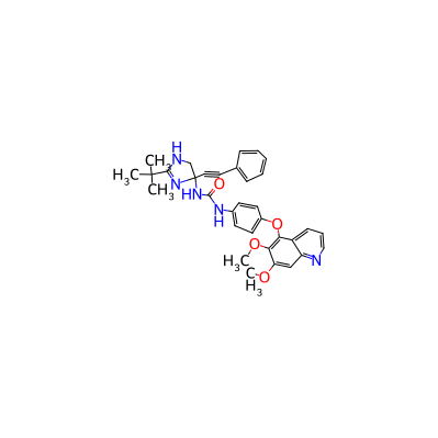 COc1cc2ncccc2c(Oc2ccc(NC(=O)NC3(C#Cc4ccccc4)CNC(C(C)(C)C)=N3)cc2)c1OC